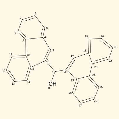 OC(c1cc2ccccc2c2ccccc12)c1cc2ccccc2c2ccccc12